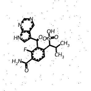 CC(C)C(c1ccc(C(N)=O)c(F)c1C(=O)c1c[nH]c2ncncc12)S(=O)(=O)O